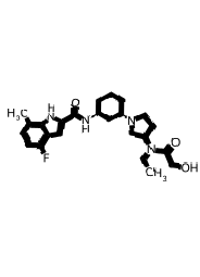 CCN(C(=O)CO)C1CCN([C@H]2CCC[C@@H](NC(=O)c3cc4c(F)ccc(C)c4[nH]3)C2)C1